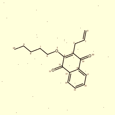 C=CCC1=C(OCCCCC)C(=O)c2ccccc2C1=O